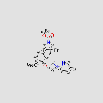 CCC1(C)CN(C(=O)OC(C)(C)C)CC1c1ccc(OC)c(OC2CN(c3ccc(C)cn3)C2)c1